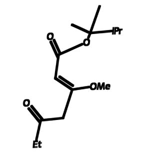 CCC(=O)CC(=CC(=O)OC(C)(C)C(C)C)OC